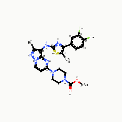 CCc1nn2ccc(N3CCN(C(=O)OC(C)(C)C)CC3)nc2c1Nc1nc(-c2ccc(F)c(F)c2)c(C#N)s1